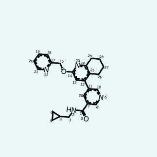 O=C(NCC1CC1)c1cncc(-c2cc(OCc3ccccn3)nc3c2CCCC3)c1